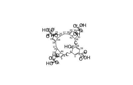 O=S(=O)(O)C1=CC2CC3=CC(S(=O)(=O)O)=CC(CC4=CC(S(=O)(=O)O)=CC(CC5=CC(S(=O)(=O)O)=CC(CC(=C1)C2O)C5O)C4O)C3O